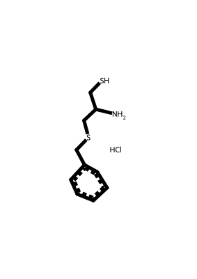 Cl.NC(CS)CSCc1ccccc1